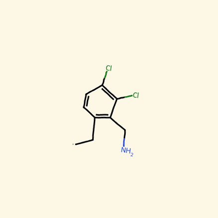 [CH2]Cc1ccc(Cl)c(Cl)c1CN